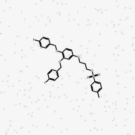 Cc1ccc(S(=O)(=O)OCCCOc2ccc(OCc3ccc(F)cc3)c(OCc3ccc(F)cc3)c2)cc1